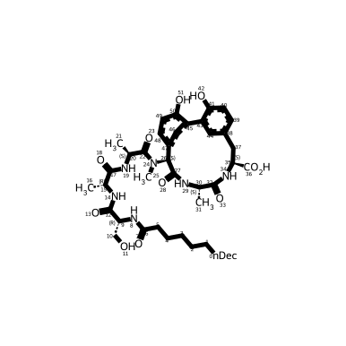 CCCCCCCCCCCCCCCC(=O)N[C@H](CO)C(=O)N[C@H](C)C(=O)N[C@@H](C)C(=O)N(C)[C@@H]1C(=O)N[C@@H](C)C(=O)N[C@H](C(=O)O)Cc2ccc(O)c(c2)-c2cc1ccc2O